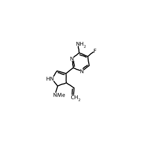 C=CC1C(c2ncc(F)c(N)n2)=CNC1NC